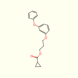 O=C(OCCCOc1cccc(Oc2ccccc2)c1)C1CC1